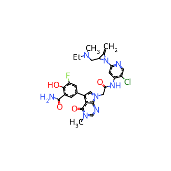 C=C1C(CN(C)CC)N1c1cc(NC(=O)Cn2cc(-c3cc(F)c(O)c(C(N)=O)c3)c3c(=O)n(C)cnc32)c(Cl)cn1